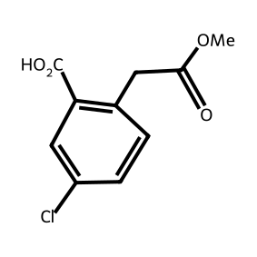 COC(=O)Cc1ccc(Cl)cc1C(=O)O